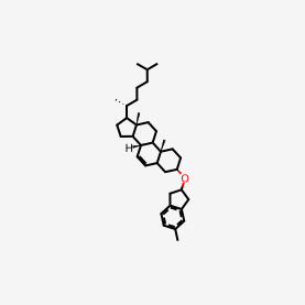 Cc1ccc2c(c1)CC(O[C@@H]1CC[C@]3(C)C(C=C[C@H]4C3CC[C@]3(C)C4CCC3[C@H](C)CCCC(C)C)C1)C2